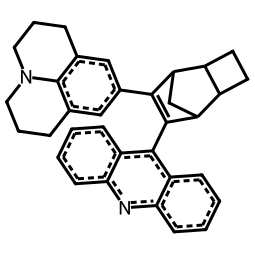 c1ccc2c(C3=C(c4cc5c6c(c4)CCCN6CCC5)C4CC3C3CCC43)c3ccccc3nc2c1